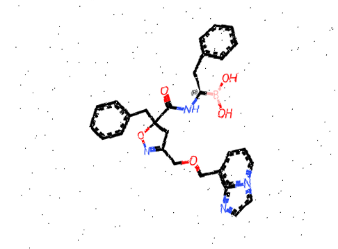 O=C(N[C@@H](Cc1ccccc1)B(O)O)C1(Cc2ccccc2)CC(COCc2cccn3ccnc23)=NO1